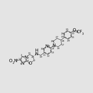 O=[N+]([O-])c1cn2c(n1)OC[C@@H](NCc1ccc(N3CCC(c4ccc(OC(F)(F)F)cc4)CC3)nc1)C2